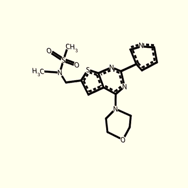 CN(Cc1cc2c(N3CCOCC3)nc(-c3cccnc3)nc2s1)S(C)(=O)=O